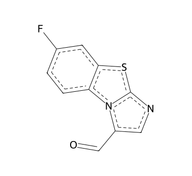 O=Cc1cnc2sc3cc(F)ccc3n12